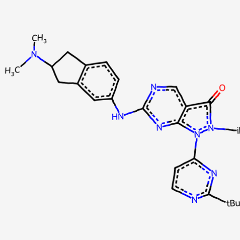 CC(C)n1c(=O)c2cnc(Nc3ccc4c(c3)CC(N(C)C)C4)nc2n1-c1ccnc(C(C)(C)C)n1